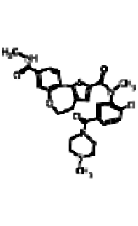 CNC(=O)c1ccc2c(c1)OCCc1cc(C(=O)N(C)c3cc(C(=O)N4CCN(C)CC4)ccc3Cl)sc1-2